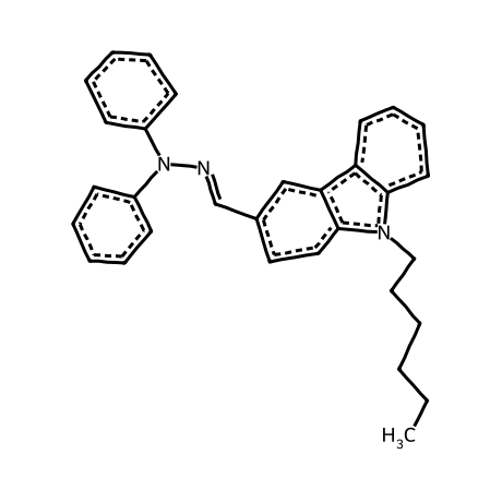 CCCCCCn1c2ccccc2c2cc(C=NN(c3ccccc3)c3ccccc3)ccc21